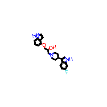 OC(COc1cccc2[nH]ccc12)CN1CCC(c2c[nH]c3cc(F)ccc23)CC1